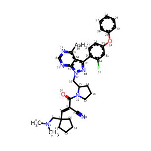 CN(C)CC1(C=C(C#N)C(=O)N2CCCC2Cn2nc(-c3ccc(Oc4ccccc4)cc3F)c3c([AsH2])ncnc32)CCCC1